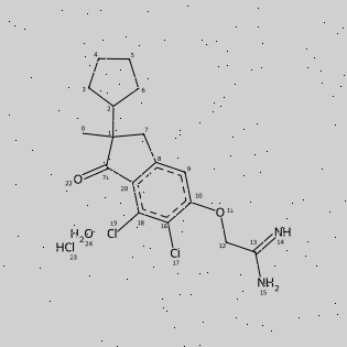 CC1(C2CCCC2)Cc2cc(OCC(=N)N)c(Cl)c(Cl)c2C1=O.Cl.O